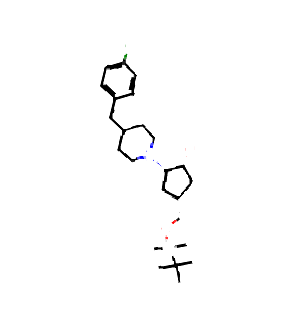 CC(C)(C)[Si](C)(C)OC[C@H]1C[C@@H](O)[C@H](N2CCC(Cc3ccc(Cl)cc3)CC2)C1